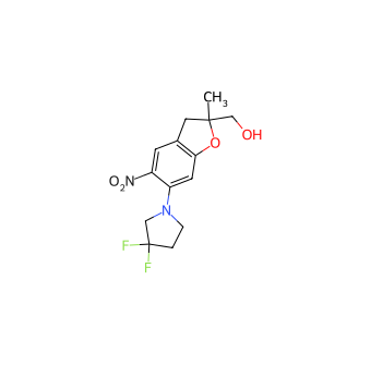 CC1(CO)Cc2cc([N+](=O)[O-])c(N3CCC(F)(F)C3)cc2O1